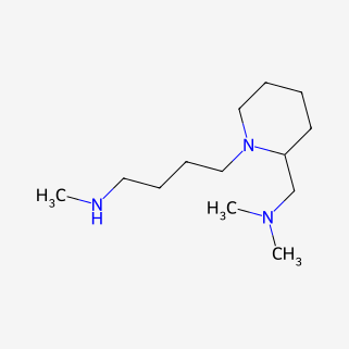 CNCCCCN1CCCCC1CN(C)C